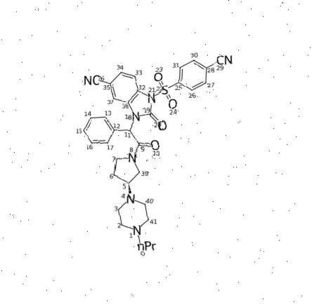 CCCN1CCN([C@H]2CCN(C(=O)C(c3ccccc3)n3c(=O)n(S(=O)(=O)c4ccc(C#N)cc4)c4ccc(C#N)cc43)C2)CC1